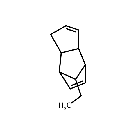 CCC1C2C=CC1C1CC=CC21